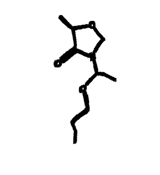 CCCOC(C)N1COC(C)C1=O